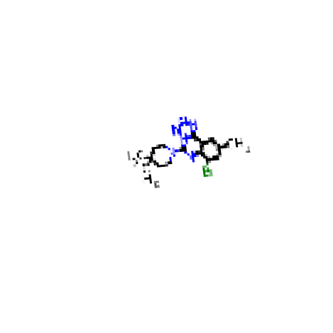 Cc1cc(Br)c2nc(N3CCC(C)(C)CC3)n3nnnc3c2c1